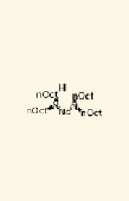 CCCCCCCC[N](CCCCCCCC)[Nd][N](CCCCCCCC)CCCCCCCC.I